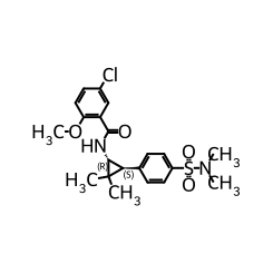 COc1ccc(Cl)cc1C(=O)N[C@@H]1[C@@H](c2ccc(S(=O)(=O)N(C)C)cc2)C1(C)C